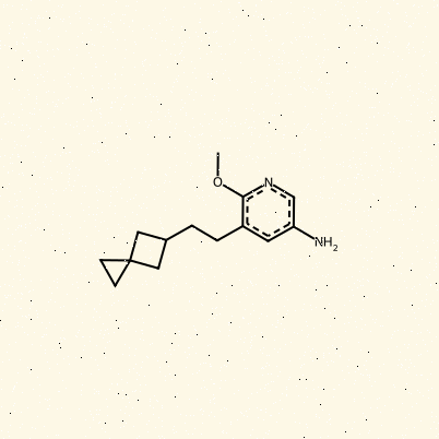 COc1ncc(N)cc1CCC1CC2(CC2)C1